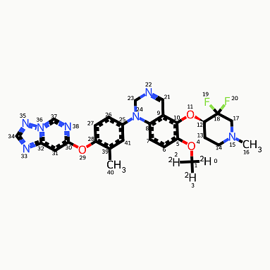 [2H]C([2H])([2H])Oc1ccc2c(c1O[C@@H]1CCN(C)CC1(F)F)C=NCN2c1ccc(Oc2cc3ncnn3cn2)c(C)c1